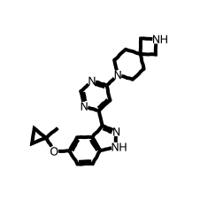 CC1(Oc2ccc3[nH]nc(-c4cc(N5CCC6(CC5)CNC6)ncn4)c3c2)CC1